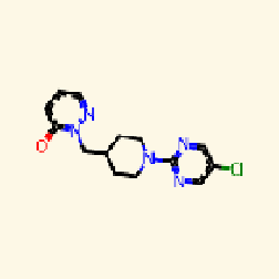 O=c1cccnn1CC1CCN(c2ncc(Cl)cn2)CC1